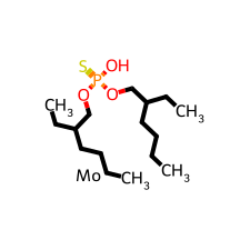 CCCCC(CC)COP(O)(=S)OCC(CC)CCCC.[Mo]